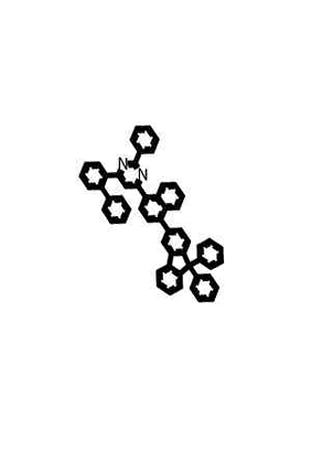 c1ccc(-c2nc(-c3ccccc3-c3ccccc3)cc(-c3ccc(-c4ccc5c(c4)-c4ccccc4C5(c4ccccc4)c4ccccc4)c4ccccc34)n2)cc1